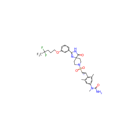 Cc1cc(N(C)C(N)=O)cc(C)c1/C=C/S(=O)(=O)N1CCC2(CC1)N=C(c1cccc(OCCCC(F)(F)C(F)(F)F)c1)NC2=O